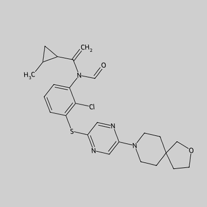 C=C(C1CC1C)N(C=O)c1cccc(Sc2cnc(N3CCC4(CCOC4)CC3)cn2)c1Cl